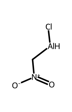 O=[N+]([O-])[CH2][AlH][Cl]